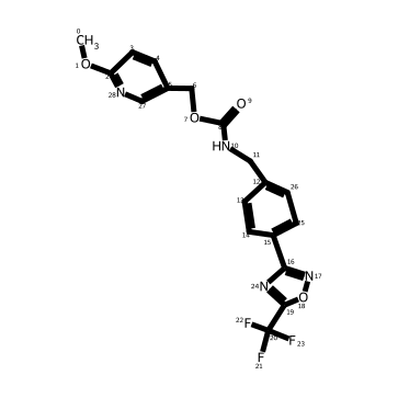 COc1ccc(COC(=O)NCc2ccc(-c3noc(C(F)(F)F)n3)cc2)cn1